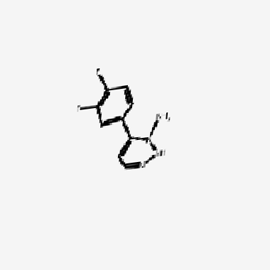 NN1NN=CC=C1c1ccc(F)c(F)c1